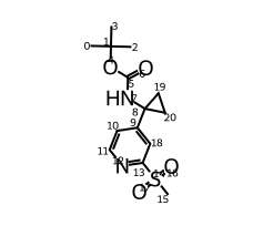 CC(C)(C)OC(=O)NC1(c2ccnc(S(C)(=O)=O)c2)CC1